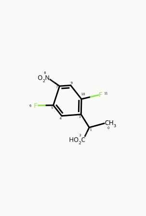 CC(C(=O)O)c1cc(F)c([N+](=O)[O-])cc1F